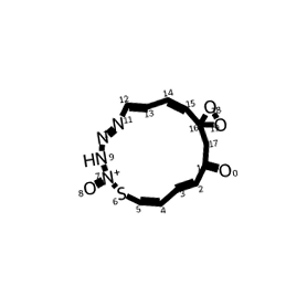 O=C1/C=C/C=C\S[N+](=O)N/N=N/C=C/C=C\C2(C1)OO2